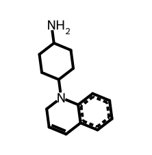 NC1CCC(N2CC=Cc3ccccc32)CC1